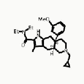 CCN(CC)C(=O)c1[nH]c2c(c1C)C[C@@H]1CN(CC3CC3)CC[C@@]1(c1cccc(OC)c1)C2